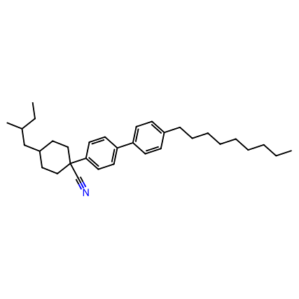 CCCCCCCCCc1ccc(-c2ccc(C3(C#N)CCC(CC(C)CC)CC3)cc2)cc1